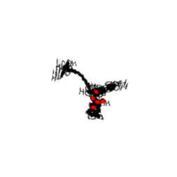 CC1O[C@@H](OC2C(O)[C@@H](NC(=O)CCCCCCCCCCO[C@@H]3O[C@@H](CO)C(O)C3CO)C(CO)O[C@H]2OC(=O)[C@@]2(CCC(C)(C)C)C(O)C[C@]3(C)C(=CCC4C5(C)CC[C@H](O)C(C)(C=O)C5CCC43C)C2I)C(CO)C(O)[C@H]1O[C@@H]1OC[C@@H](O)C(O)C1O